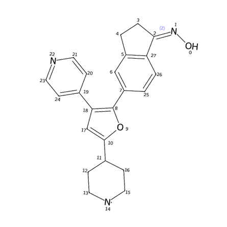 O/N=C1/CCc2cc(-c3oc(C4CC[N]CC4)cc3-c3ccncc3)ccc21